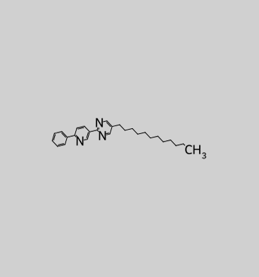 CCCCCCCCCCCCc1cnc(-c2ccc(-c3ccccc3)nc2)nc1